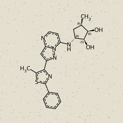 [CH2][C@@H]1C[C@@H](Nc2ccnc3cc(-c4nc(-c5ccccc5)sc4C)nn23)[C@H](O)[C@@H]1O